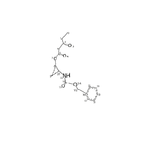 CCC(=O)CC(=O)OC1CC1NC(=O)OCc1ccccc1